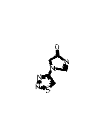 O=C1CN(c2csnn2)C=N1